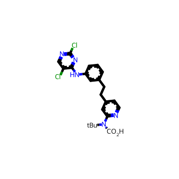 CC(C)(C)N(C(=O)O)c1cc(CCc2cccc(Nc3nc(Cl)ncc3Cl)c2)ccn1